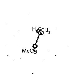 COC(=O)c1ccc(C#CC#CC2COC(C)(C)OC2)cc1